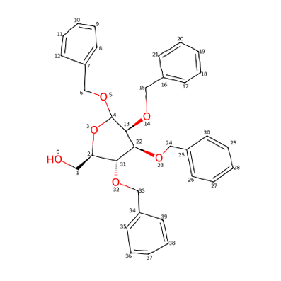 OC[C@H]1OC(OCc2ccccc2)[C@@H](OCc2ccccc2)[C@@H](OCc2ccccc2)[C@@H]1OCc1ccccc1